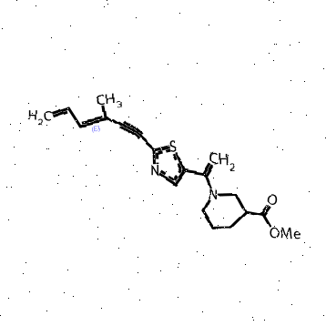 C=C/C=C(\C)C#Cc1ncc(C(=C)N2CCCC(C(=O)OC)C2)s1